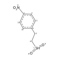 O=[N+]([O-])c1ccc(CC[SH](=O)=O)cc1